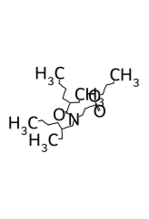 CCCCOC(=O)CCN(CC(CC)CCCC)C(=O)C(CC)CCCC